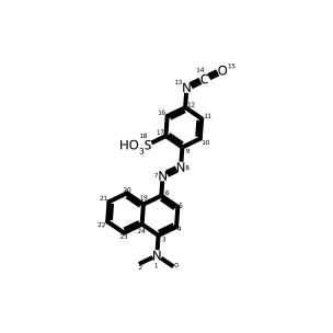 CN(C)c1ccc(N=Nc2ccc(N=C=O)cc2S(=O)(=O)O)c2ccccc12